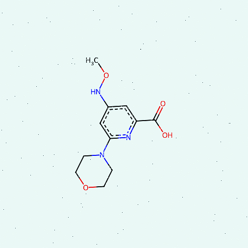 CONc1cc(C(=O)O)nc(N2CCOCC2)c1